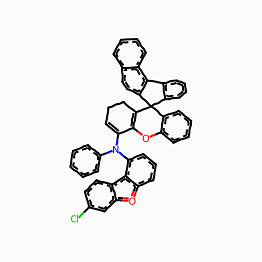 Clc1ccc2c(c1)oc1cccc(N(C3=CCCC4=C3Oc3ccccc3C43c4ccccc4-c4c3ccc3ccccc43)c3ccccc3)c12